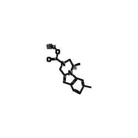 Cc1ccc2cc3n(c2c1)[C@H](C)CN(C(=O)OC(C)(C)C)C3